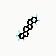 Fc1c(F)c(F)c2c(ccc3c4ccc5c(ccc6c(F)c(F)c(F)c(F)c65)c4ccc32)c1F